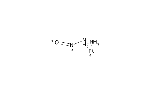 N.NN=O.[Pt]